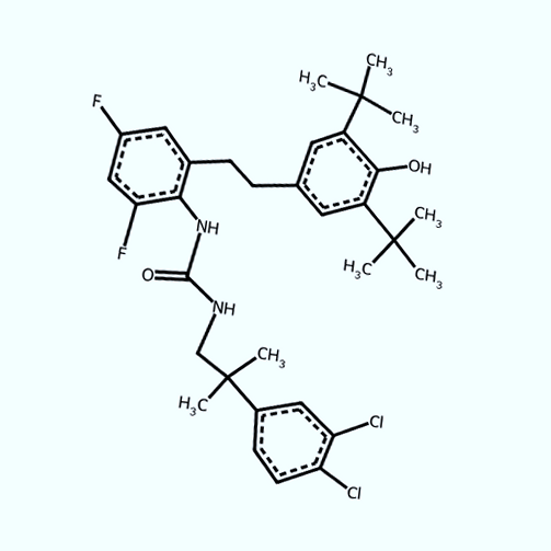 CC(C)(C)c1cc(CCc2cc(F)cc(F)c2NC(=O)NCC(C)(C)c2ccc(Cl)c(Cl)c2)cc(C(C)(C)C)c1O